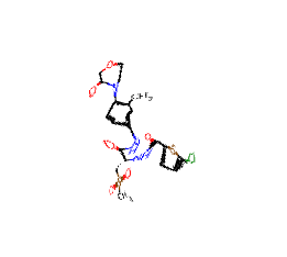 Cc1cc(NC(=O)[C@@H](CS(C)(=O)=O)NC(=O)c2ccc(Cl)s2)ccc1N1CCOCC1=O